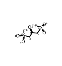 O=C(CS(=O)(=O)F)CS(=O)(=O)F